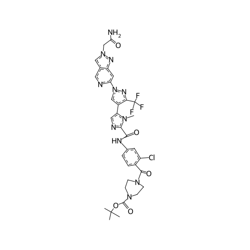 Cn1c(-c2cn(-c3cc4nn(CC(N)=O)cc4cn3)nc2C(F)(F)F)cnc1C(=O)Nc1ccc(C(=O)N2CCN(C(=O)OC(C)(C)C)CC2)c(Cl)c1